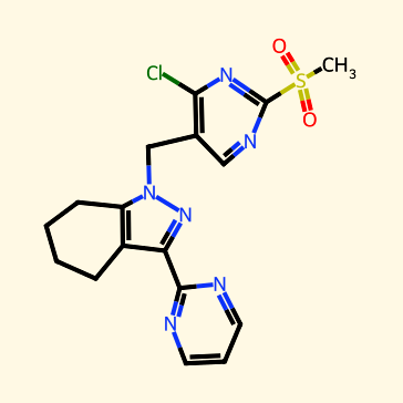 CS(=O)(=O)c1ncc(Cn2nc(-c3ncccn3)c3c2CCCC3)c(Cl)n1